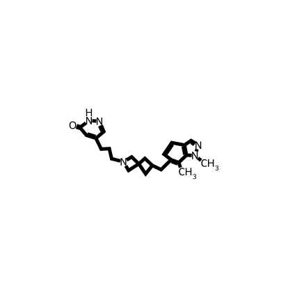 Cc1c(CC2CC3(C2)CN(CCCc2cn[nH]c(=O)c2)C3)ccc2cnn(C)c12